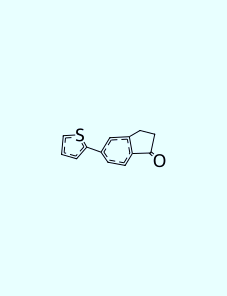 O=C1CCc2cc(-c3cccs3)ccc21